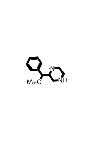 COC(c1ccccc1)C1CNCC[N]1